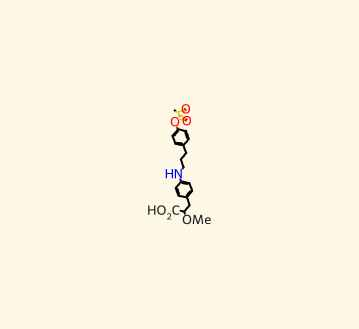 COC(Cc1ccc(NCCCc2ccc(OS(C)(=O)=O)cc2)cc1)C(=O)O